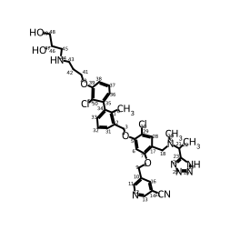 Cc1c(COc2cc(OCc3cncc(C#N)c3)c(CN(C)C(C)c3nnn[nH]3)cc2Cl)cccc1-c1cccc(OCCCNC[C@H](O)CO)c1Cl